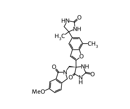 COc1ccc2c(c1)C(=O)N(C[C@@]1(c3cc4cc(C5(C)CNC(=O)N5)cc(C)c4o3)NC(=O)NC1=O)C2